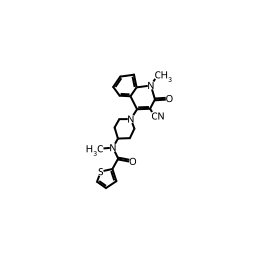 CN(C(=O)c1cccs1)C1CCN(c2c(C#N)c(=O)n(C)c3ccccc23)CC1